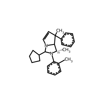 Cc1ccccc1N1C(C2CCCC2)N2C=CC(C)(c3ccccc3)C2[C@@H]1C